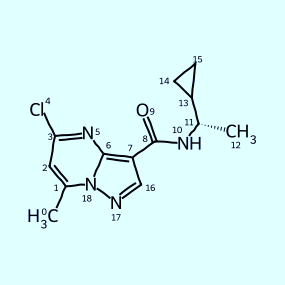 Cc1cc(Cl)nc2c(C(=O)N[C@@H](C)C3CC3)cnn12